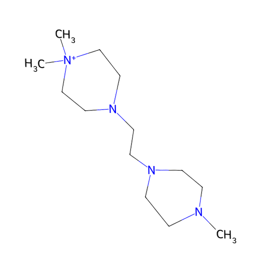 CN1CCN(CCN2CC[N+](C)(C)CC2)CC1